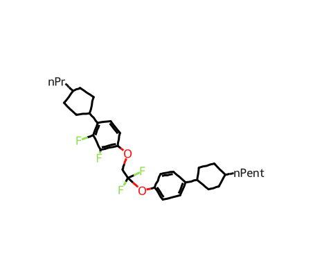 CCCCCC1CCC(c2ccc(OC(F)(F)COc3ccc(C4CCC(CCC)CC4)c(F)c3F)cc2)CC1